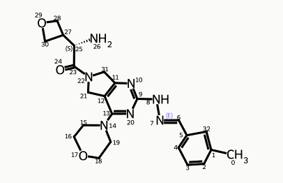 Cc1cccc(/C=N/Nc2nc3c(c(N4CCOCC4)n2)CN(C(=O)[C@@H](N)C2COC2)C3)c1